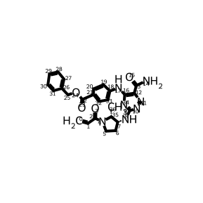 C=CC(=O)N1CC[C@@H](Nc2nnc(C(N)=O)c(Nc3ccc(C(=O)OCc4ccccc4)cc3)n2)[C@H]1C